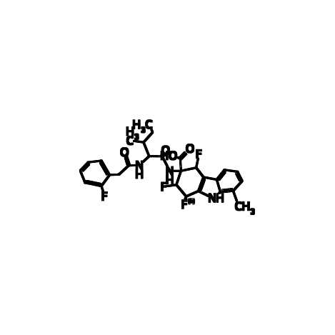 CCC(C)C(NC(=O)Cc1ccccc1F)C(=O)NC1(C(=O)O)C(F)c2c([nH]c3c(C)cccc23)[C@@H](F)C1F